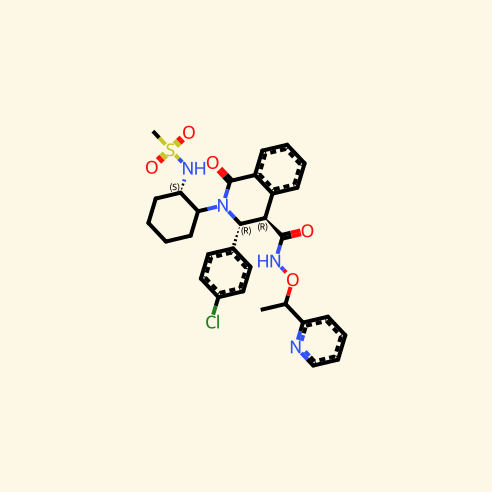 CC(ONC(=O)[C@@H]1c2ccccc2C(=O)N(C2CCCC[C@@H]2NS(C)(=O)=O)[C@H]1c1ccc(Cl)cc1)c1ccccn1